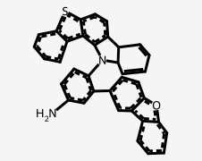 Nc1ccc(N2c3c(ccc4sc5ccccc5c34)C3C=CC=CC32)c(-c2ccc3oc4ccccc4c3c2)c1